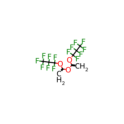 C=C(OC(=C)OC(F)(F)C(F)(F)C(F)(F)F)OC(F)(F)C(F)(F)C(F)(F)F